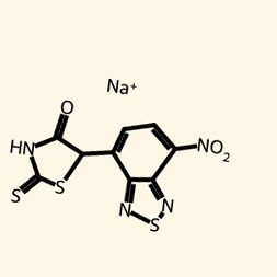 O=C1NC(=S)SC1c1ccc([N+](=O)[O-])c2nsnc12.[Na+]